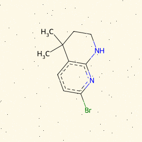 CC1(C)CCNc2nc(Br)ccc21